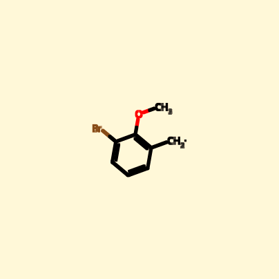 [CH2]c1cccc(Br)c1OC